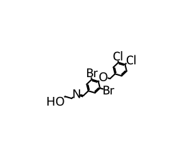 OCC/N=C/c1cc(Br)c(OCc2ccc(Cl)c(Cl)c2)c(Br)c1